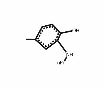 CCCNc1cc(C)ccc1O